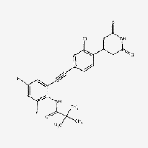 CC(C)(C)C(=O)Nc1c(F)cc(F)cc1C#Cc1ccc(C2CC(=O)NC(=O)C2)c(Cl)c1